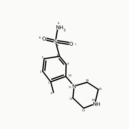 Cc1ccc(S(N)(=O)=O)cc1N1CCNCC1